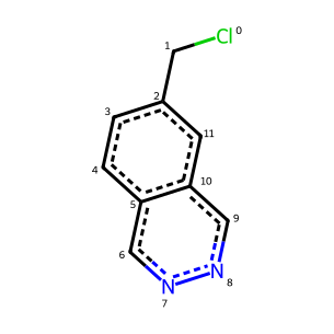 ClCc1ccc2cnncc2c1